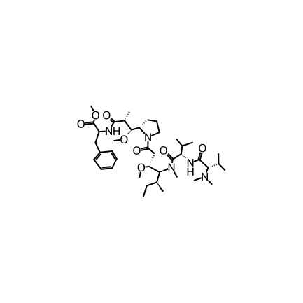 CC[C@H](C)[C@@H]([C@@H](CC(=O)N1CCC[C@H]1[C@H](OC)[C@@H](C)C(=O)NC(Cc1ccccc1)C(=O)OC)OC)N(C)C(=O)[C@@H](NC(=O)[C@H](C(C)C)N(C)C)C(C)C